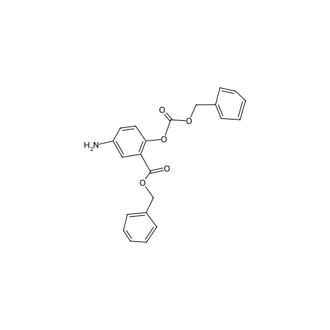 Nc1ccc(OC(=O)OCc2ccccc2)c(C(=O)OCc2ccccc2)c1